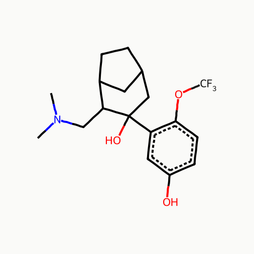 CN(C)CC1C2CCC(C2)CC1(O)c1cc(O)ccc1OC(F)(F)F